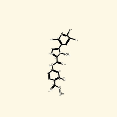 Cn1c(-c2cc(F)c(F)nc2F)cnc1C(=O)Nc1ccc(C(=O)OC(C)(C)C)c(Cl)c1